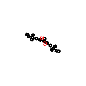 c1ccc2cc(-c3c4ccccc4c(-c4ccc(-c5ccc6c(c5)Oc5cccc7c5c-6cc5oc6cc(-c8ccc(-c9c%10ccccc%10c(-c%10ccc%11ccccc%11c%10)c%10ccccc9%10)cc8)ccc6c57)cc4)c4ccccc34)ccc2c1